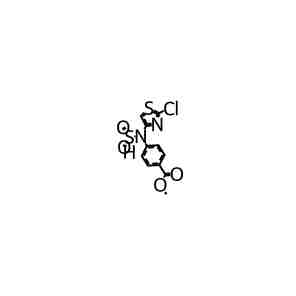 COC(=O)c1ccc(N(c2csc(Cl)n2)[SH](=O)=O)cc1